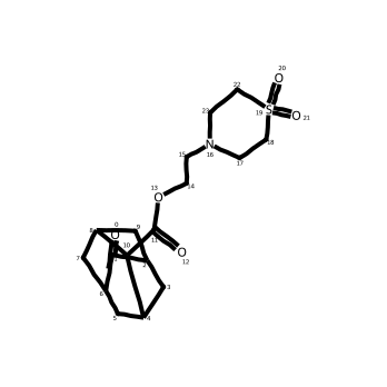 O=C1C2CC3CC1CC(C2)C3C(=O)OCCN1CCS(=O)(=O)CC1